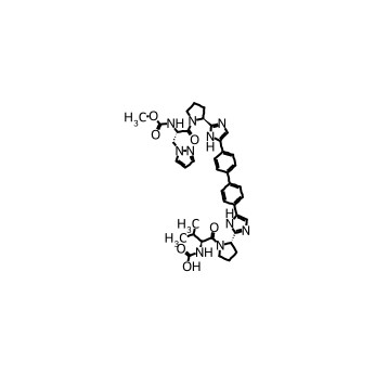 COC(=O)N[C@@H](Cn1cccn1)C(=O)N1CCC[C@H]1c1ncc(-c2ccc(-c3ccc(-c4cnc([C@@H]5CCCN5C(=O)[C@@H](NC(=O)O)C(C)C)[nH]4)cc3)cc2)[nH]1